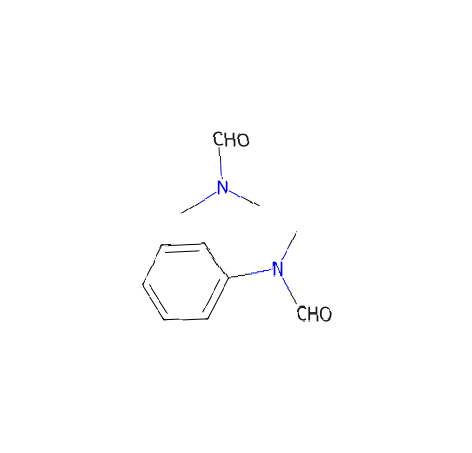 CN(C)C=O.CN(C=O)c1ccccc1